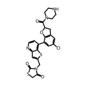 O=C(C1Cc2cc(Cl)cc(-c3ccnc4cc(CN5C(=O)CSC5=O)sc34)c2O1)N1CCNCC1